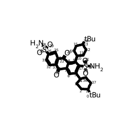 CC(C)(C)C1CCC(c2cc3c(c(C4CCC(C(C)(C)C)CC4)c2S(N)(=O)=O)C(=O)c2cc(S(N)(=O)=O)ccc2C3=O)CC1